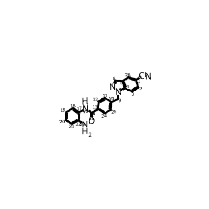 N#Cc1ccc2c(cnn2Cc2ccc(C(=O)Nc3ccccc3N)cc2)c1